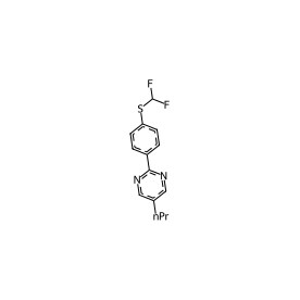 CCCc1cnc(-c2ccc(SC(F)F)cc2)nc1